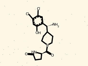 N[C@@H](c1cc(Cl)c(Cl)cc1O)C1CCN(C(=O)[C@H]2CCC(=O)N2)CC1